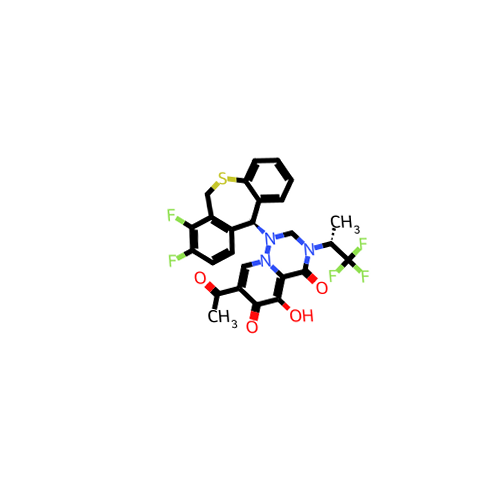 CC(=O)c1cn2c(c(O)c1=O)C(=O)N([C@H](C)C(F)(F)F)CN2[C@@H]1c2ccccc2SCc2c1ccc(F)c2F